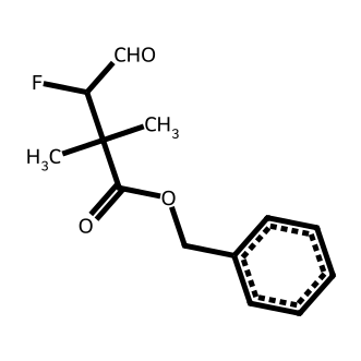 CC(C)(C(=O)OCc1ccccc1)C(F)C=O